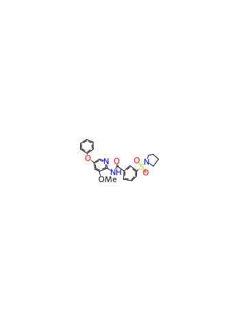 COc1cc(Oc2ccccc2)cnc1NC(=O)c1cccc(S(=O)(=O)N2CCCC2)c1